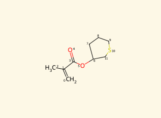 C=C(C)C(=O)OC1CCCSC1